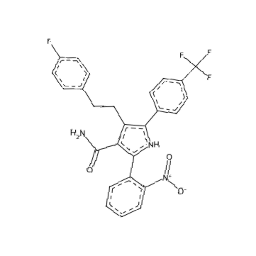 NC(=O)c1c(-c2ccccc2[N+](=O)[O-])[nH]c(-c2ccc(C(F)(F)F)cc2)c1CCc1ccc(F)cc1